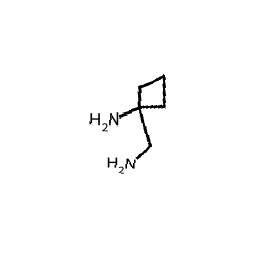 NCC1(N)CCC1